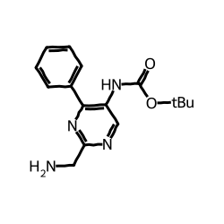 CC(C)(C)OC(=O)Nc1cnc(CN)nc1-c1ccccc1